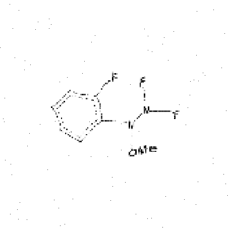 CON(c1ccccc1F)N(F)F